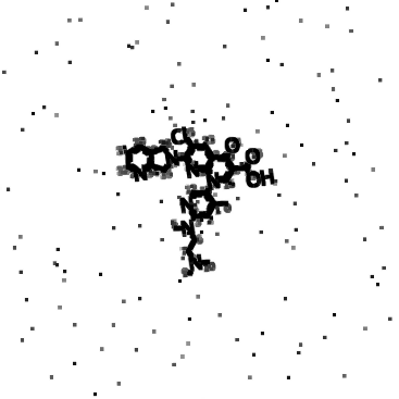 Cc1cc(N(C)CCN(C)C)ncc1-n1cc(C(=O)O)c(=O)c2cc(Cl)c(N3Cc4cccnc4C3)nc21